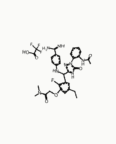 CCc1cc(OCC(=O)N(C)C)c(F)c(C(Nc2ccc(C(=N)N)cc2)c2nn(-c3ccccc3NC(C)=O)c(=O)[nH]2)c1.O=C(O)C(F)(F)F